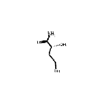 NC(=O)[C@H](O)[CH]CO